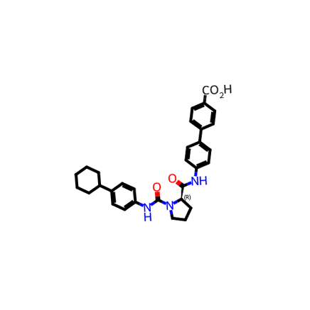 O=C(O)c1ccc(-c2ccc(NC(=O)[C@H]3CCCN3C(=O)Nc3ccc(C4CCCCC4)cc3)cc2)cc1